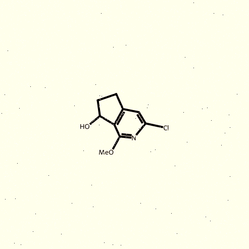 COc1nc(Cl)cc2c1C(O)CC2